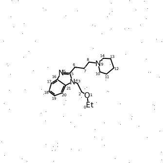 CCOCCn1c(CCCN2CCCCC2)nc2ccccc21